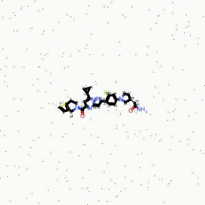 C[C@@H]1c2ccsc2CCN1C(=O)c1cc(C2CC2)n2nc(-c3ccc(N4CC[C@@H](CC(N)=O)C4)cc3F)cc2n1